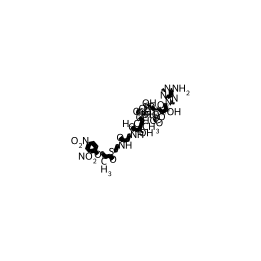 C[C@H](COc1ccc([N+](=O)[O-])cc1[N+](=O)[O-])C(=O)SCCNC(=O)CCNC(=O)[C@H](O)C(C)(C)COP(=O)(O)OP(=O)(O)OC[C@H]1O[C@@H](n2cnc3c(N)ncnc32)[C@H](O)[C@@H]1OP(=O)(O)O